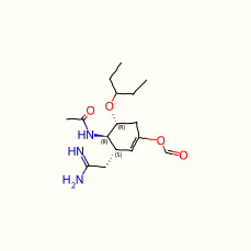 CCC(CC)O[C@@H]1CC(OC=O)=C[C@H](CC(=N)N)[C@H]1NC(C)=O